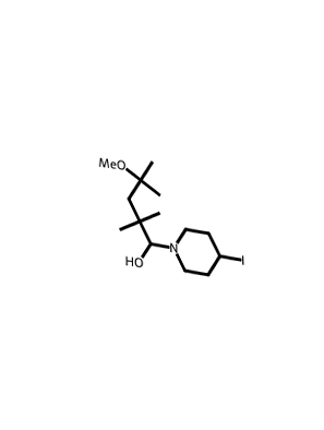 COC(C)(C)CC(C)(C)C(O)N1CCC(I)CC1